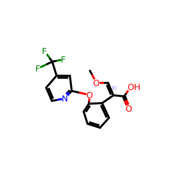 CO/C=C(/C(=O)O)c1ccccc1Oc1cc(C(F)(F)F)ccn1